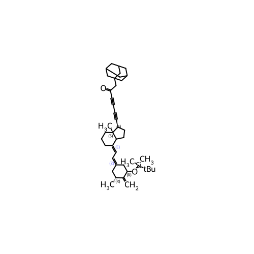 C=C1[C@H](C)C/C(=C/C=C2\CCC[C@@]3(C)C2CC[C@@H]3C#CC#CC(=O)CC23CC4CC(CC(C4)C2)C3)C[C@H]1O[Si](C)(C)C(C)(C)C